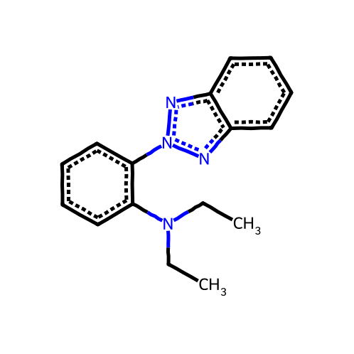 CCN(CC)c1ccccc1-n1nc2ccccc2n1